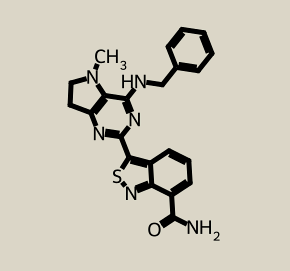 CN1CCc2nc(-c3snc4c(C(N)=O)cccc34)nc(NCc3ccccc3)c21